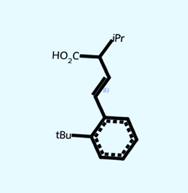 CC(C)C(/C=C/c1ccccc1C(C)(C)C)C(=O)O